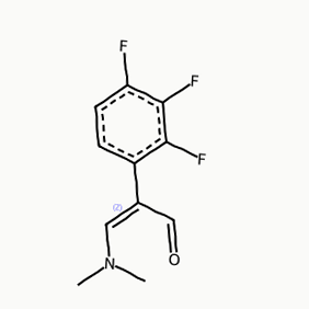 CN(C)/C=C(\C=O)c1ccc(F)c(F)c1F